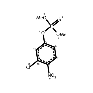 COP(=S)(OC)Oc1ccc([N+](=O)[O-])c(Cl)c1